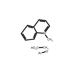 CC(=O)O.CC(=O)[O-].C[n+]1cccc2ccccc21